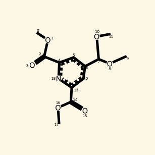 COC(=O)c1cc(C(OC)OC)cc(C(=O)OC)n1